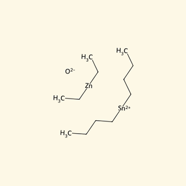 CCC[CH2][Sn+2][CH2]CCC.C[CH2][Zn][CH2]C.[O-2]